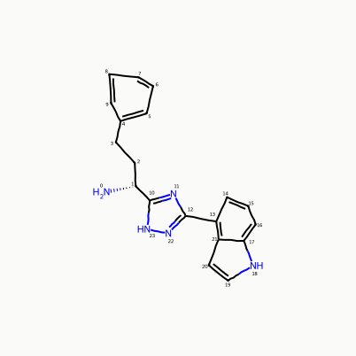 N[C@H](CCc1ccccc1)c1nc(-c2cccc3[nH]ccc23)n[nH]1